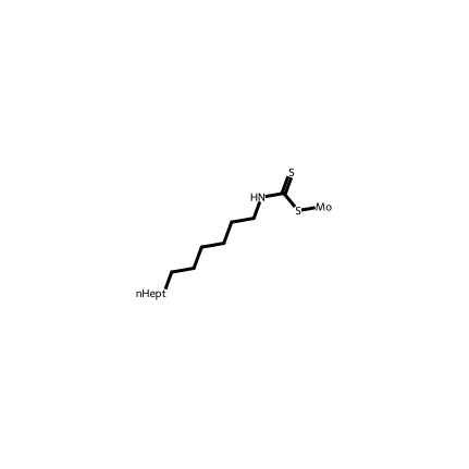 CCCCCCCCCCCCCNC(=S)[S][Mo]